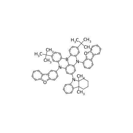 CC(C)(C)c1ccc2c(c1)N(c1ccc3oc4ccccc4c3c1)c1cc(N3c4ccccc4C4(C)CCCCC34C)cc3c1B2c1ccc(C(C)(C)C)cc1N3c1cccc2c1oc1ccccc12